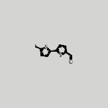 O=Cc1ccc(-c2ccc(I)s2)s1